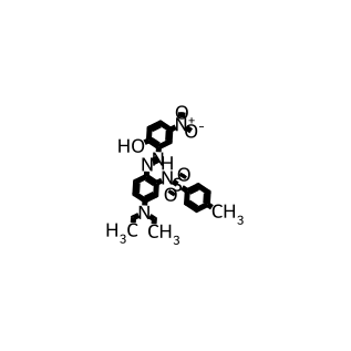 CCN(CC)c1ccc(N=Nc2cc([N+](=O)[O-])ccc2O)c(NS(=O)(=O)c2ccc(C)cc2)c1